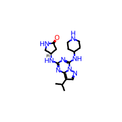 CC(C)c1cnn2c(NC3CCNCC3)nc(N[C@H]3CNC(=O)C3)nc12